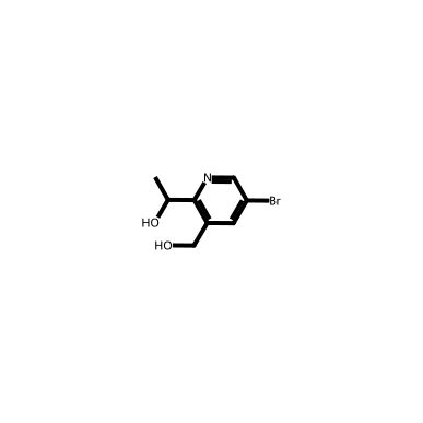 CC(O)c1ncc(Br)cc1CO